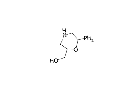 OCC1CNCC(P)O1